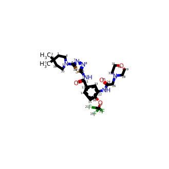 CC1(C)CCN(c2nnc(NC(=O)c3ccc(OC(F)(F)F)c(NC(=O)CN4CCOCC4)c3)s2)CC1